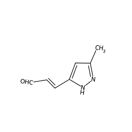 Cc1cc(/C=C/C=O)[nH]n1